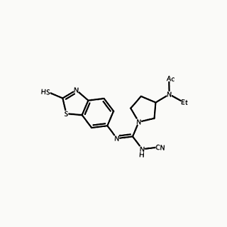 CCN(C(C)=O)C1CCN(/C(=N\c2ccc3nc(S)sc3c2)NC#N)C1